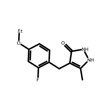 CCOc1ccc(Cc2c(C)[nH][nH]c2=O)c(F)c1